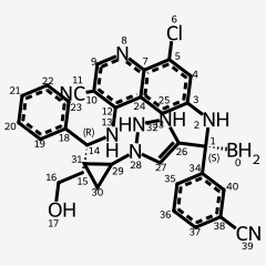 B[C@@](Nc1cc(Cl)c2ncc(C#N)c(N[C@H](CCO)c3ccccc3)c2c1)(C1=CN(C2CC2)NN1)c1cccc(C#N)c1